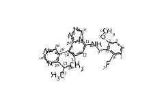 COc1cccc(F)c1CNc1ccc(-c2cncnc2C(C)C)c2nncn12